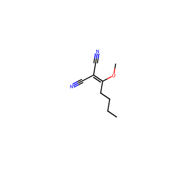 CCCCC(OC)=C(C#N)C#N